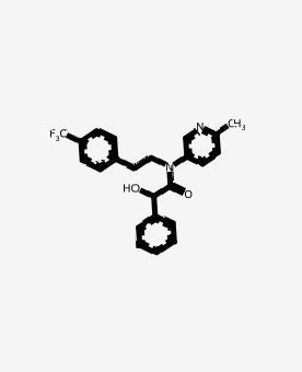 Cc1ccc(N(CCc2ccc(C(F)(F)F)cc2)C(=O)C(O)c2ccccc2)cn1